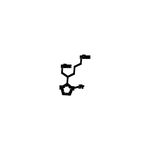 CCCCCCCCCCCCCC(CCCCCCCCCCC)c1nccn1C(C)C